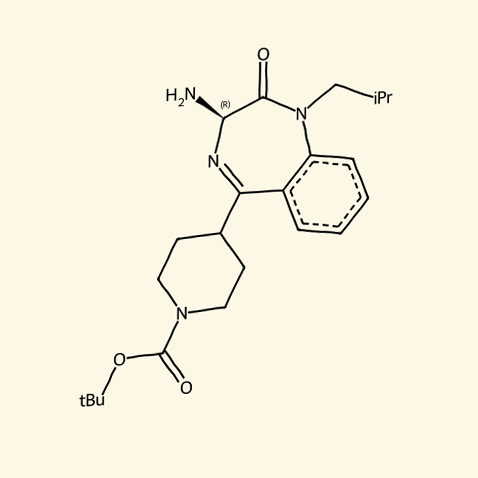 CC(C)CN1C(=O)[C@H](N)N=C(C2CCN(C(=O)OC(C)(C)C)CC2)c2ccccc21